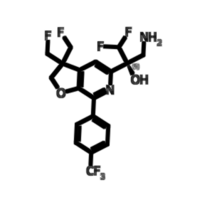 NC[C@](O)(c1cc2c(c(-c3ccc(C(F)(F)F)cc3)n1)OCC2(CF)CF)C(F)F